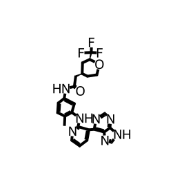 Cc1ccc(NC(=O)C[C@@H]2CCO[C@H](C(F)(F)F)C2)cc1Nc1ncccc1-c1ncnc2[nH]cnc12